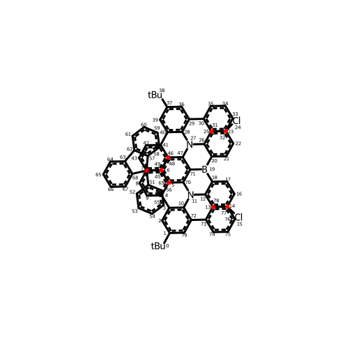 CC(C)(C)c1cc(-c2ccccc2)c(N2c3cc(Cl)ccc3B3c4ccc(Cl)cc4N(c4c(-c5ccccc5)cc(C(C)(C)C)cc4-c4ccccc4)c4cc(C5(c6ccccc6)c6ccccc6-c6ccccc65)cc2c43)c(-c2ccccc2)c1